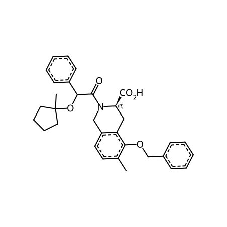 Cc1ccc2c(c1OCc1ccccc1)C[C@H](C(=O)O)N(C(=O)C(OC1(C)CCCC1)c1ccccc1)C2